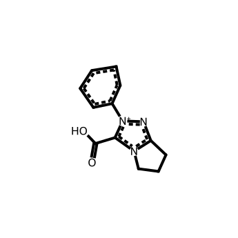 O=C(O)c1n2c(n[n+]1-c1ccccc1)CCC2